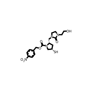 O=C1N(CCO)CCN1C[C@@H]1C[C@H](S)CN1C(=O)OCc1ccc([N+](=O)[O-])cc1